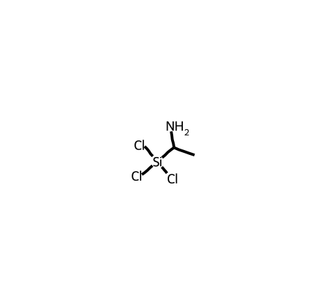 CC(N)[Si](Cl)(Cl)Cl